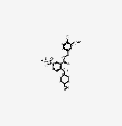 COc1cc(CNC(=O)c2cc(S(C)(=O)=O)ccc2NC2CCC(O)CC2)ccc1Cl